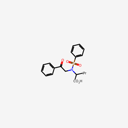 CC(C)C(C(=O)O)N(CC(=O)c1ccccc1)S(=O)(=O)c1ccccc1